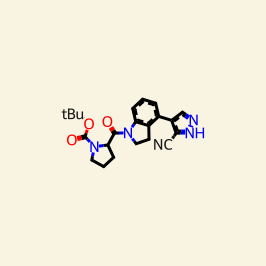 CC(C)(C)OC(=O)N1CCCC1C(=O)N1CCc2c(-c3cn[nH]c3C#N)cccc21